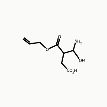 C=CCOC(=O)C(CC(=O)O)C(N)O